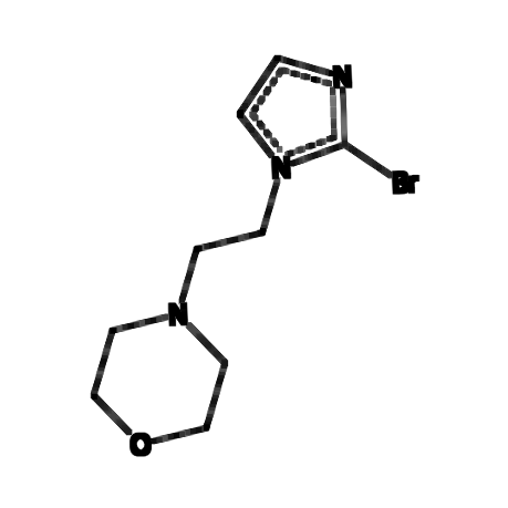 Brc1nccn1CCN1CCOCC1